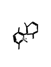 Cc1cccc(C)c1-c1c(C)ccc(C)[n+]1C